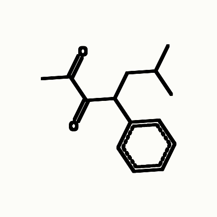 CC(=O)C(=O)C(CC(C)C)c1ccccc1